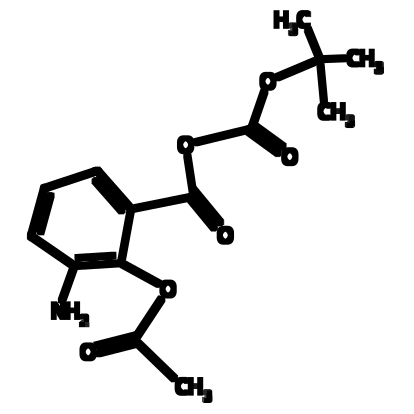 CC(=O)Oc1c(N)cccc1C(=O)OC(=O)OC(C)(C)C